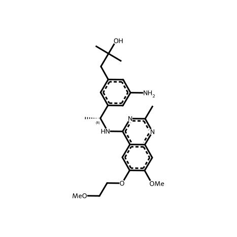 COCCOc1cc2c(N[C@H](C)c3cc(N)cc(CC(C)(C)O)c3)nc(C)nc2cc1OC